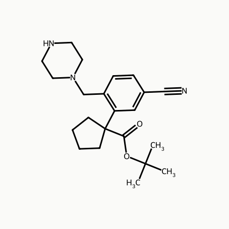 CC(C)(C)OC(=O)C1(c2cc(C#N)ccc2CN2CCNCC2)CCCC1